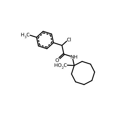 Cc1ccc(C(Cl)C(=O)NC2(C(=O)O)CCCCCCC2)cc1